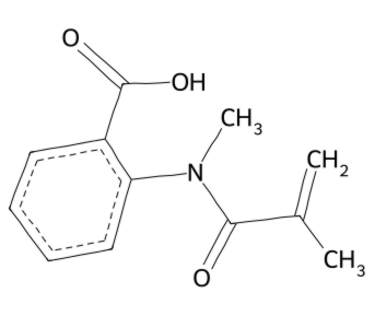 C=C(C)C(=O)N(C)c1ccccc1C(=O)O